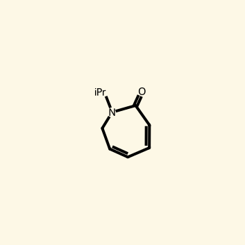 CC(C)N1CC=CC=CC1=O